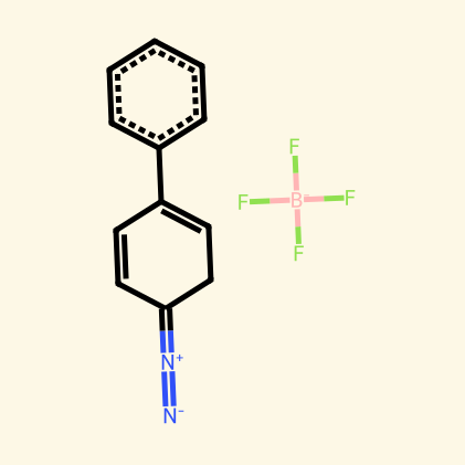 F[B-](F)(F)F.[N-]=[N+]=C1C=CC(c2ccccc2)=CC1